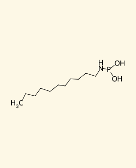 CCCCCCCCCCCNP(O)O